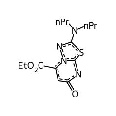 CCCN(CCC)c1nn2c(C(=O)OCC)cc(=O)nc2s1